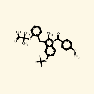 COc1ccc(C(=O)n2c(C)c(Cc3ccccc3OC(C)(C)C(=O)O)c3cc(OC(F)(F)F)ccc32)cc1